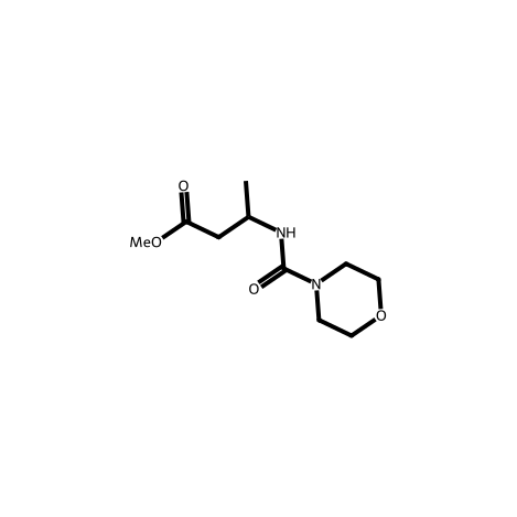 COC(=O)CC(C)NC(=O)N1CCOCC1